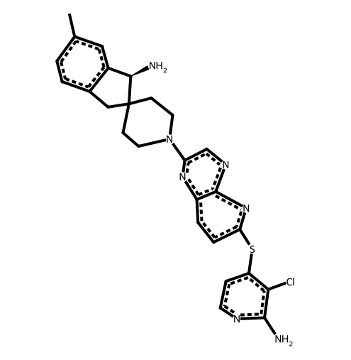 Cc1ccc2c(c1)[C@@H](N)C1(CCN(c3cnc4nc(Sc5ccnc(N)c5Cl)ccc4n3)CC1)C2